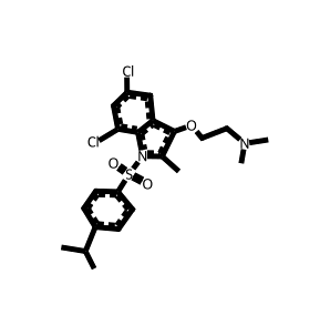 Cc1c(OCCN(C)C)c2cc(Cl)cc(Cl)c2n1S(=O)(=O)c1ccc(C(C)C)cc1